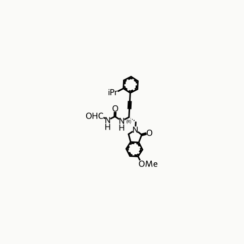 COc1ccc2c(c1)C(=O)N(C[C@@H](C#Cc1ccccc1C(C)C)NC(=O)NC=O)C2